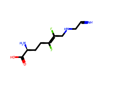 N=CCNC/C(F)=C(\F)CC[C@H](N)C(=O)O